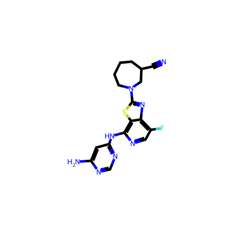 N#CC1CCCCN(c2nc3c(F)cnc(Nc4cc(N)ncn4)c3s2)C1